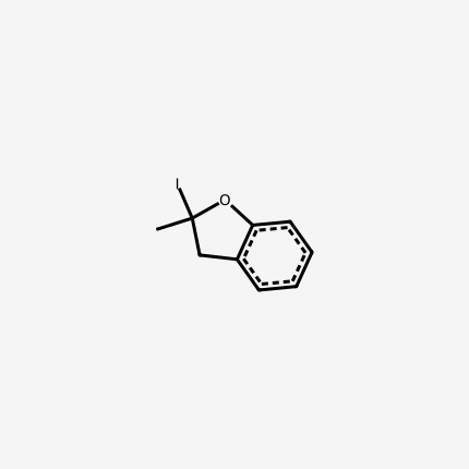 CC1(I)Cc2ccccc2O1